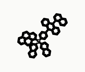 c1ccc2cc([Si](c3ccc(-c4c5ccccc5c(-c5cccc6ccccc56)c5ccccc45)cc3)(c3ccc4ccccc4c3)c3ccc4ccc5cccc6ccc3c4c56)ccc2c1